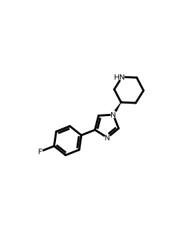 Fc1ccc(-c2cn([C@@H]3CCCNC3)cn2)cc1